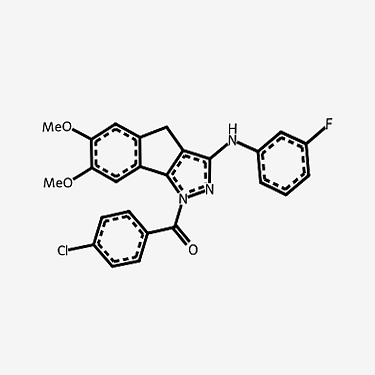 COc1cc2c(cc1OC)-c1c(c(Nc3cccc(F)c3)nn1C(=O)c1ccc(Cl)cc1)C2